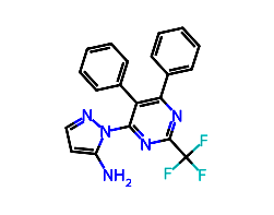 Nc1ccnn1-c1nc(C(F)(F)F)nc(-c2ccccc2)c1-c1ccccc1